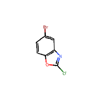 Clc1nc2cc(Br)ccc2o1